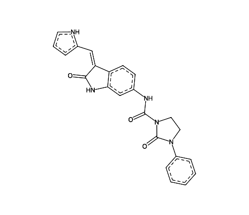 O=C1Nc2cc(NC(=O)N3CCN(c4ccccc4)C3=O)ccc2C1=Cc1ccc[nH]1